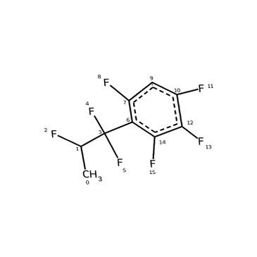 CC(F)C(F)(F)c1c(F)[c]c(F)c(F)c1F